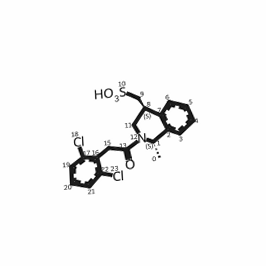 C[C@H]1c2ccccc2[C@H](CS(=O)(=O)O)CN1C(=O)Cc1c(Cl)cccc1Cl